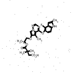 Cc1cc2c(F)c(Oc3ncnn4cc(OC[C@@H](C)OC(=O)C(C)(C)CC(=O)O)c(C)c34)ccc2[nH]1